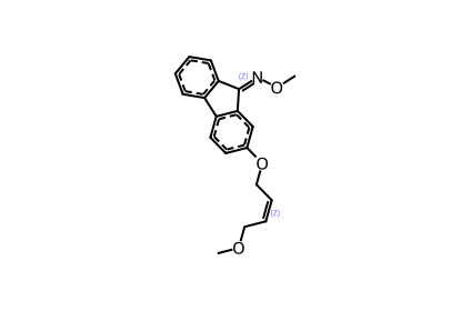 COC/C=C\COc1ccc2c(c1)/C(=N\OC)c1ccccc1-2